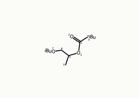 CCCCC(=O)OC(C)COCC(C)C